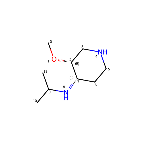 CO[C@@H]1CNCC[C@@H]1NC(C)C